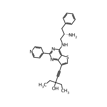 CCC(O)(C#Cc1csc2c(NC[C@@H](N)Cc3ccccc3)nc(-c3ccncc3)nc12)CC